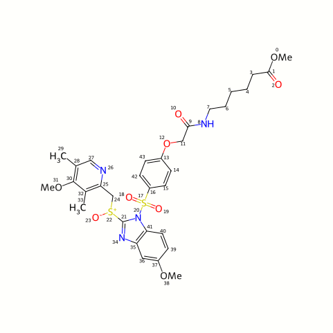 COC(=O)CCCCCNC(=O)COc1ccc(S(=O)(=O)n2c([S+]([O-])Cc3ncc(C)c(OC)c3C)nc3cc(OC)ccc32)cc1